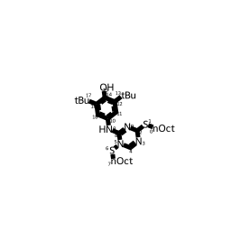 CCCCCCCCSC1N=CN(SCCCCCCCC)C(Nc2cc(C(C)(C)C)c(O)c(C(C)(C)C)c2)=N1